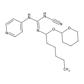 CCCCCC(N=C(NC#N)Nc1ccncc1)OC1CCCCO1